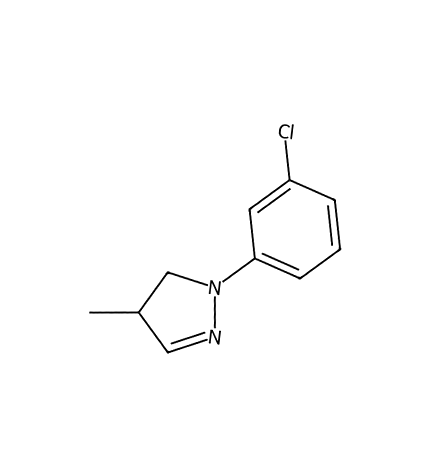 CC1C=NN(c2cccc(Cl)c2)C1